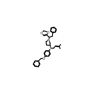 CC(C)=CCN(c1ccc(OCc2ccccc2)cc1)C1CCN(C(Cc2ccccc2)C2=COCO2)C1